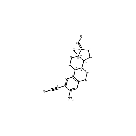 CC#Cc1cc2c(cc1N)CCC1C2CC[C@]2(C)C(=CC)CCC12